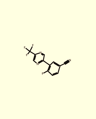 N#Cc1ccc(F)c(-c2cnc(C(F)(F)F)cn2)c1